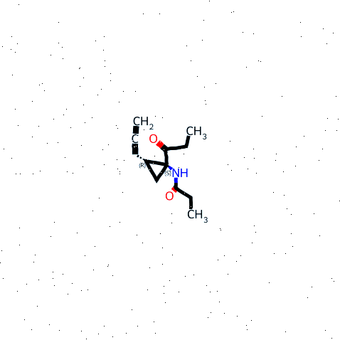 C=C=C[C@H]1C[C@@]1(NC(=O)CC)C(=O)CC